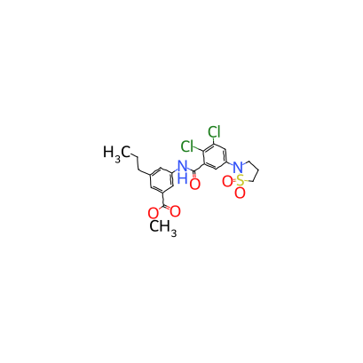 CCCc1cc(NC(=O)c2cc(N3CCCS3(=O)=O)cc(Cl)c2Cl)cc(C(=O)OC)c1